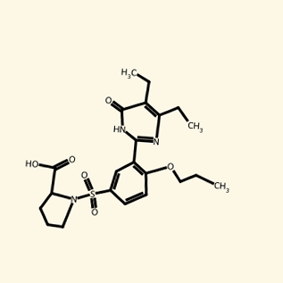 CCCOc1ccc(S(=O)(=O)N2CCCC2C(=O)O)cc1-c1nc(CC)c(CC)c(=O)[nH]1